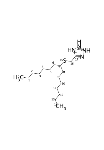 CCCCCCCC(CCCCCCC)SCC1=NNNN1